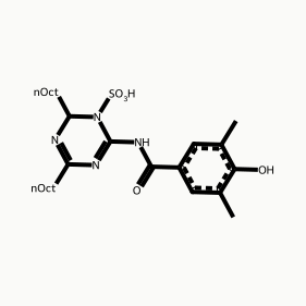 CCCCCCCCC1=NC(CCCCCCCC)N(S(=O)(=O)O)C(NC(=O)c2cc(C)c(O)c(C)c2)=N1